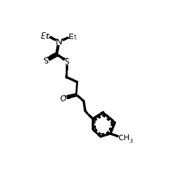 CCN(CC)C(=S)SCCC(=O)CCc1ccc(C)cc1